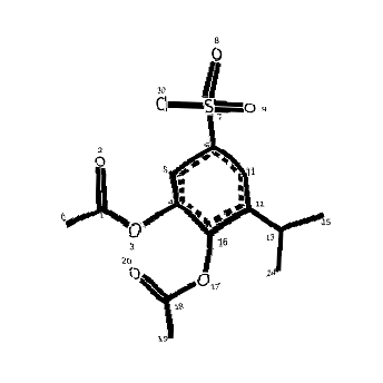 CC(=O)Oc1cc(S(=O)(=O)Cl)cc(C(C)C)c1OC(C)=O